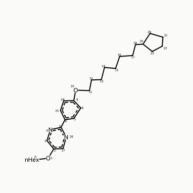 CCCCCCOc1cnc(-c2ccc(OCCCCCCCCC3CCCC3)cc2)nc1